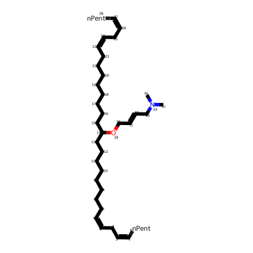 CCCCC/C=C\C/C=C\CCCCCCCCC(CCCCCCCC/C=C\C/C=C\CCCCC)OC/C=C/CN(C)C